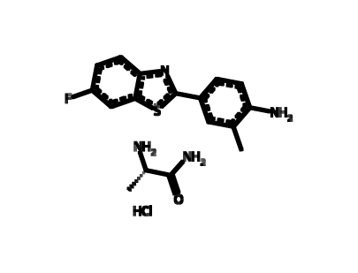 C[C@H](N)C(N)=O.Cc1cc(-c2nc3ccc(F)cc3s2)ccc1N.Cl